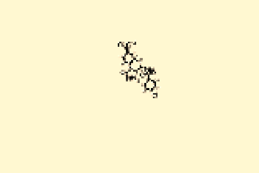 NC(=O)N1CC(NS(=O)(=O)c2ccc(Cl)cc2)Cc2cc(C(=O)O)ccc21